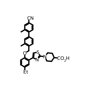 CCc1ccc(OCc2ccc(-c3ccc(C#N)cc3C)cc2C)c(-c2csc(N3CCC(C(=O)O)CC3)n2)c1